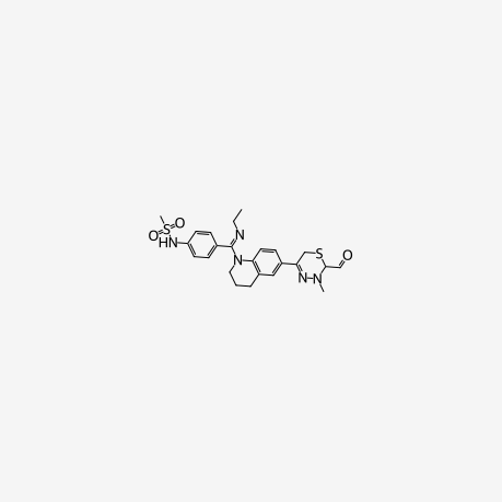 CCN=C(c1ccc(NS(C)(=O)=O)cc1)N1CCCc2cc(C3=NN(C)C(C=O)SC3)ccc21